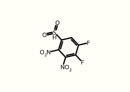 O=[N+]([O-])c1c([SH](=O)=O)cc(F)c(F)c1[N+](=O)[O-]